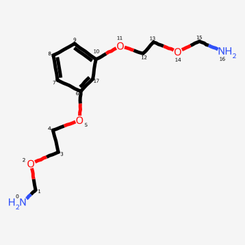 NCOCCOc1cccc(OCCOCN)c1